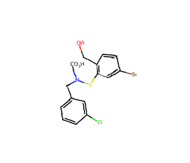 O=C(O)N(Cc1cccc(Cl)c1)Sc1cc(Br)ccc1CO